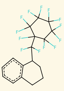 FC(F)(C1CCCc2ccccc21)C1(F)C(F)(F)C(F)(F)C(F)(F)C(F)(F)C1(F)F